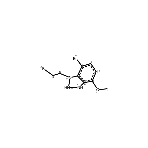 COc1ncc(Br)c2c1NNN2CCF